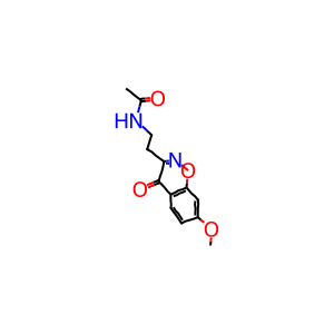 COc1ccc2c(=O)c(CCNC(C)=O)noc2c1